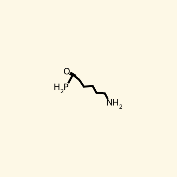 NCCCCCC(=O)P